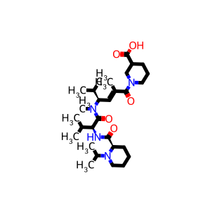 C/C(=C\[C@H](C(C)C)N(C)C(=O)[C@@H](NC(=O)[C@H]1CCCCN1C(C)C)C(C)C)C(=O)N1CCCC(C(=O)O)C1